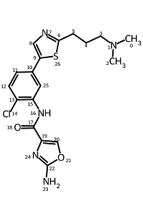 CN(C)CCCc1ncc(-c2ccc(Cl)c(NC(=O)c3coc(N)n3)c2)s1